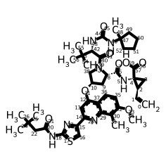 C=C[C@@H]1C[C@]1(NC(=O)[C@@H]1C[C@@H](Oc2cc(-c3csc(NC(=O)CC(C)(C)C)n3)nc3c(C)c(OC)ccc23)CN1C(=O)[C@@H](NC(=O)NC1(C)CCCC1)C(C)(C)C)C(=O)O